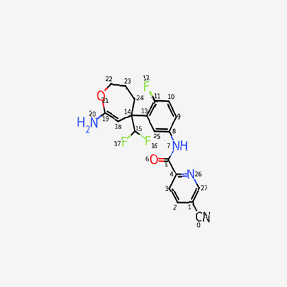 N#Cc1ccc(C(=O)Nc2ccc(F)c(C3(C(F)F)C=C(N)OCCC3)c2)nc1